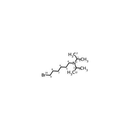 CC(C)N(CCCCCCBr)C(C)C